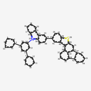 c1ccc(-c2cc(-c3ccccc3)cc(-n3c4ccccc4c4cc(-c5ccc6sc7cc8c9c(cccc9c7c6c5)-c5ccccc5-8)ccc43)c2)cc1